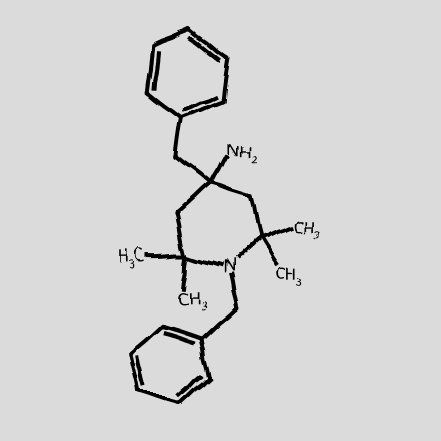 CC1(C)CC(N)(Cc2ccccc2)CC(C)(C)N1Cc1ccccc1